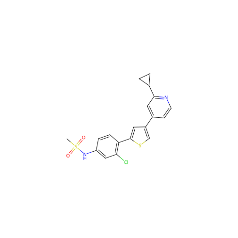 CS(=O)(=O)Nc1ccc(-c2cc(-c3ccnc(C4CC4)c3)cs2)c(Cl)c1